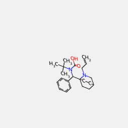 C=CCN1CC2CCC1(C(c1ccccc1)N(C(=O)O)C(C)(C)C)CC2